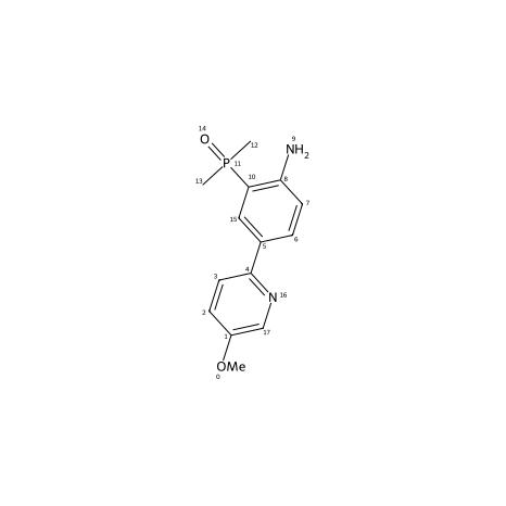 COc1ccc(-c2ccc(N)c(P(C)(C)=O)c2)nc1